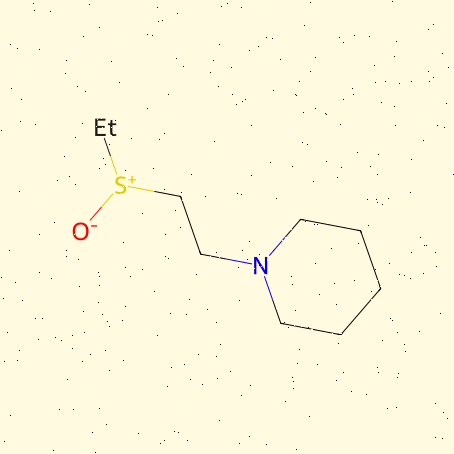 CC[S+]([O-])CCN1CCCCC1